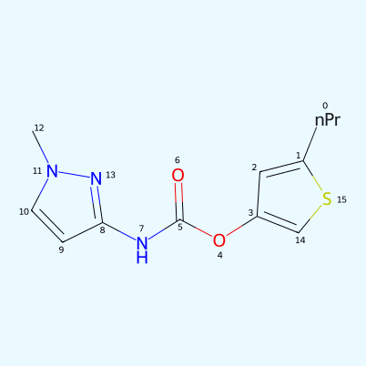 CCCc1cc(OC(=O)Nc2ccn(C)n2)cs1